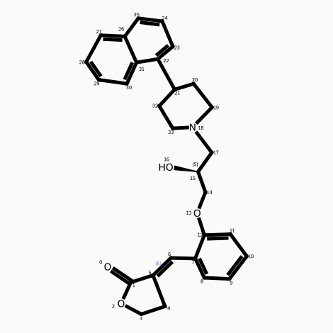 O=C1OCC/C1=C\c1ccccc1OC[C@@H](O)CN1CCC(c2cccc3ccccc23)CC1